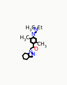 CCN(C)C=Nc1cc(C)c(C(=O)Cn2ncc3c2CCCC3)cc1C